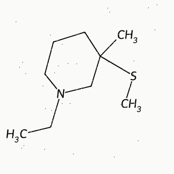 CCN1CCCC(C)(SC)C1